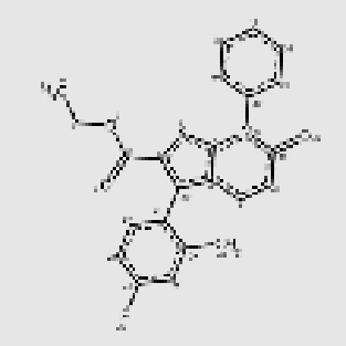 CCOC(=O)c1sc2c(ccc(=O)n2-c2ccccc2)c1-c1ccc(F)cc1C